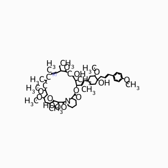 CCC1/C=C(\C)CC(C)CC(OC)C2OC(O)(C(=O)C(=O)N3CCCCC3C(=O)OC(C(C)=CC3CCC(O)(CC=Cc4ccc(OC)cc4)C(OC)C3)C(C)C(O)CC1=O)C(C)CC2OC